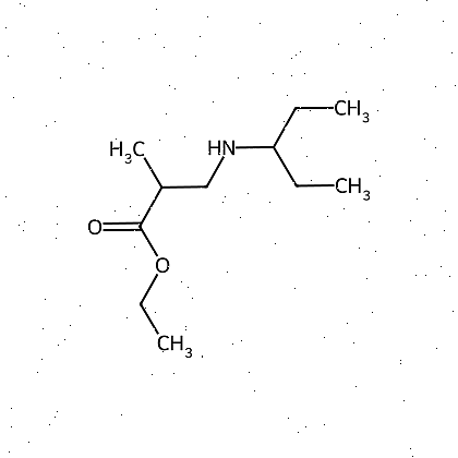 CCOC(=O)C(C)CNC(CC)CC